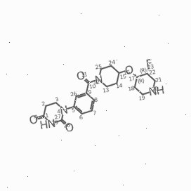 O=C1CCN(c2cccc(C(=O)N3CCC(O[C@@H]4CCNC[C@H]4F)CC3)c2)C(=O)N1